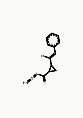 CC/C(=C\c1ccccc1)C1CC1C(=O)N=[N+]=N